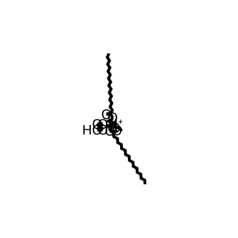 CCCCCCCCCCCCCCCCCC(=O)OC(C)[N+](C)(OCC)C(C)OC(=O)CCCCCCCCCCCCCCCCC.O=S(=O)(O)O